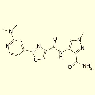 CN(C)c1cc(-c2nc(C(=O)Nc3cn(C)nc3C(N)=O)co2)ccn1